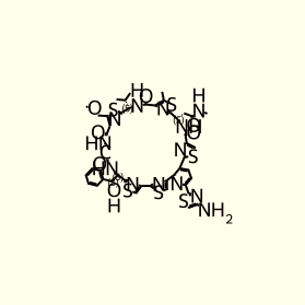 CNC(=O)C[C@@H]1NC(=O)c2csc(n2)-c2ccc(-c3nc(N)cs3)nc2-c2csc(n2)-c2csc(n2)[C@H]([C@@H](O)c2ccccc2)NC(=O)CNC(=O)c2nc(sc2COC)[C@H](C(C)C)NC(=O)c2nc1sc2C